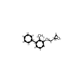 Cc1c(OC[C@H]2CO2)cccc1-c1ccccc1